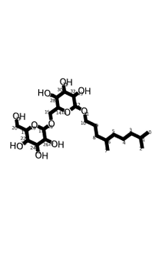 CC(C)CCCC(C)CCCOC1OC(COC2OC(CO)C(O)C(O)C2O)C(O)C(O)C1O